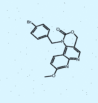 COc1ccc2c3c(cnc2n1)COC(=O)N3Cc1ccc(Br)cc1